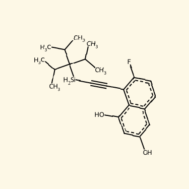 CC(C)C([SiH2]C#Cc1c(F)ccc2cc(O)cc(O)c12)(C(C)C)C(C)C